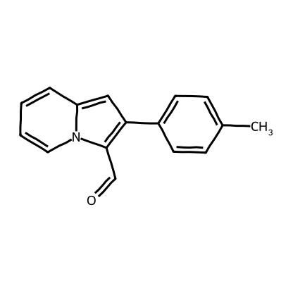 Cc1ccc(-c2cc3ccccn3c2C=O)cc1